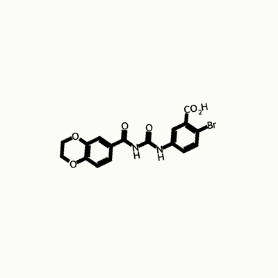 O=C(NC(=O)c1ccc2c(c1)OCCO2)Nc1ccc(Br)c(C(=O)O)c1